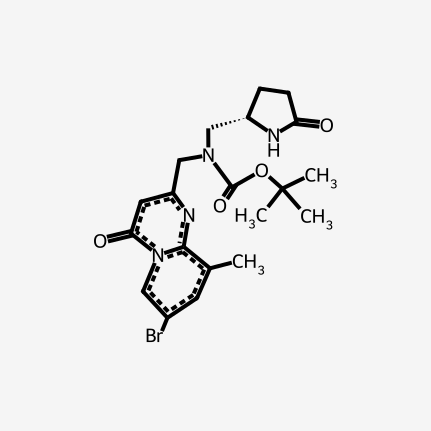 Cc1cc(Br)cn2c(=O)cc(CN(C[C@@H]3CCC(=O)N3)C(=O)OC(C)(C)C)nc12